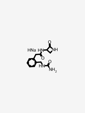 NC(=O)NCc1ccccc1CC(=O)NC1CNC1=O.[NaH]